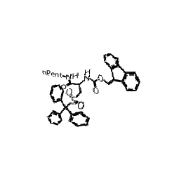 CCCCCNC(=O)[C@H](CS(=O)(=O)C(c1ccccc1)(c1ccccc1)c1ccccc1)NC(=O)OCC1c2ccccc2-c2ccccc21